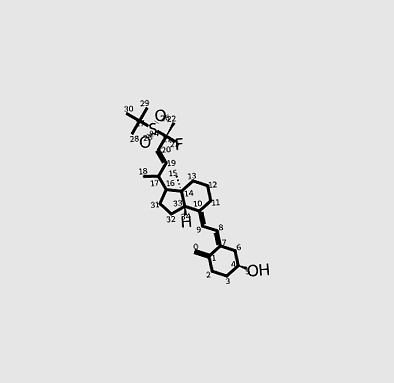 C=C1CC[C@H](O)C/C1=C/C=C1\CCC[C@]2(C)C(C(C)/C=C/[C@@](C)(F)S(=O)(=O)C(C)(C)C)CC[C@@H]12